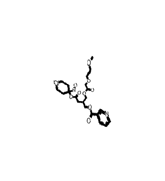 COCCOCC(=O)OCC(COC(=O)c1cccnc1)CC(=O)OC1(N=O)CCOCC1